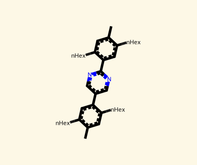 CCCCCCc1cc(-c2cnc(-c3cc(CCCCCC)c(C)cc3CCCCCC)nc2)c(CCCCCC)cc1C